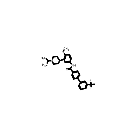 COc1ccc(NC(=O)c2ccc(-c3cccc(C(F)(F)F)c3)cc2)cc1C1CCN(C(C)C)CC1